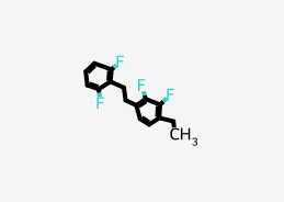 CCc1ccc(CCc2c(F)cccc2F)c(F)c1F